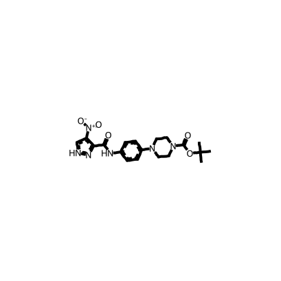 CC(C)(C)OC(=O)N1CCN(c2ccc(NC(=O)c3n[nH]cc3[N+](=O)[O-])cc2)CC1